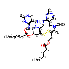 CCCCCCCCCCCCCC(=O)OCCC(SSC(CCOC(=O)CCCCCCCCCCCCC)=C(C)N(C=O)Cc1cnc(C)nc1N)=C(C)N(C=O)Cc1cnc(C)nc1N